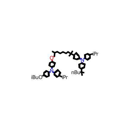 CCCCC(C)(C)c1ccc(N(c2ccc(C(C)C)cc2)c2ccc(C(C)(C)CCCCCC(C)COc3ccc(N(c4ccc(OCC(C)C)cc4)c4ccc(C(C)C)cc4)cc3)cc2)cc1